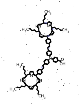 CCCCC/C1=C2\C=CC(=N2)/C(CCCCC)=C2C=C/C(=C(\c3ccc(/C=C/c4ccc(N(c5ccc(/C=C/c6ccc(-c7c8nc(c(CCCCC)c9ccc([nH]9)c(CCCCC)c9nc(c(CCCCC)c%10ccc7[nH]%10)C=C9)C=C8)cc6)cc5)c5ccc(C(=O)O)cc5)cc4)cc3)C3=N/C(=C(/CCCCC)c4ccc1[nH]4)C=C3)C/2